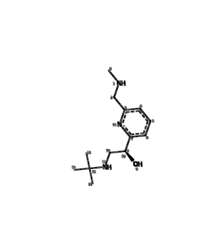 CNCc1cccc([C@@H](O)CNC(C)(C)C)n1